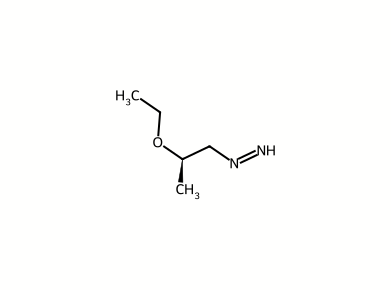 CCO[C@H](C)CN=N